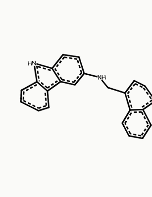 c1ccc2c(CNc3ccc4[nH]c5ccccc5c4c3)cccc2c1